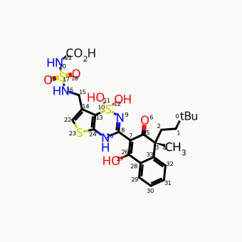 CC(C)(C)CC[C@@]1(C)C(=O)C(C2=NS(O)(O)c3c(CNS(=O)(=O)NC(=O)O)csc3N2)=C(O)c2ccccc21